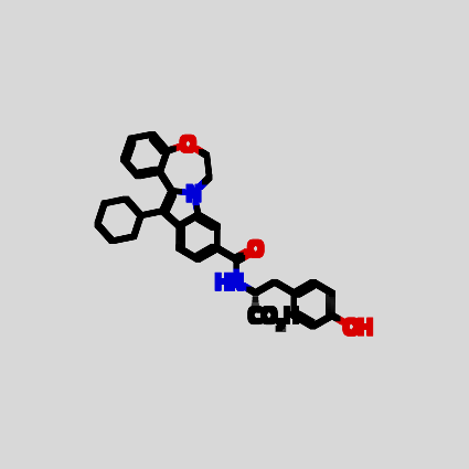 O=C(N[C@H](Cc1ccc(O)cc1)C(=O)O)c1ccc2c(C3CCCCC3)c3n(c2c1)CCOc1ccccc1-3